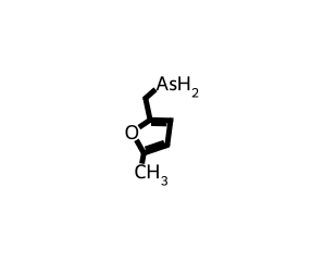 Cc1ccc(C[AsH2])o1